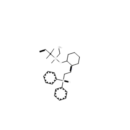 C=CC(C)(C)[Si](C)(CC(C)(C)C)OC1CCCC/C1=C/CP(=O)(c1ccccc1)c1ccccc1